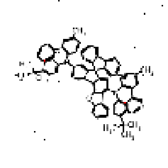 Cc1ccc(N(c2ccc(C(C)(C)C)cc2)c2ccc3c(c2)C2(c4ccccc4-c4ccc(F)cc42)c2cc(N(c4ccc(C(C)(C)C)cc4)c4ccc(C)cc4-c4ccccc4)c4c(oc5ccccc54)c2-3)c(-c2ccccc2)c1